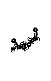 CC(=O)OC[C@H]1O[C@@H](n2cc(F)c(=O)n(C(=O)c3cccc(C(=O)Oc4cc(=O)n(COCc5ccccc5)cc4Cl)c3)c2=O)C[C@@H]1OCc1ccccc1